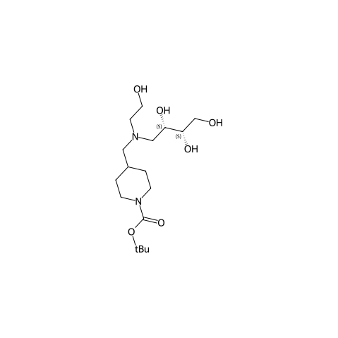 CC(C)(C)OC(=O)N1CCC(CN(CCO)C[C@H](O)[C@@H](O)CO)CC1